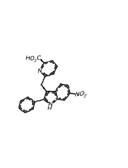 O=C(O)c1cccc(Cc2c(-c3ccccc3)[nH]c3cc([N+](=O)[O-])ccc23)n1